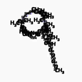 CCOCCOCCOCCOCCNC(=O)O[C@@H]1CC[C@@H](C[C@@H](N)[C@@H]2CC(N=[N+]=[N-])[C@H](C)/C=C(\C)[C@@H](O)[C@@H](OC)C(=O)[C@H](C)C[C@H](C)/C=C/C=C/C=C(\C)[C@@H](OC)C[C@@H]3CC[C@@H](C)[C@@](O)(O3)C(=O)C(=O)N3CCCC[C@H]3C(=O)O2)C[C@H]1OC